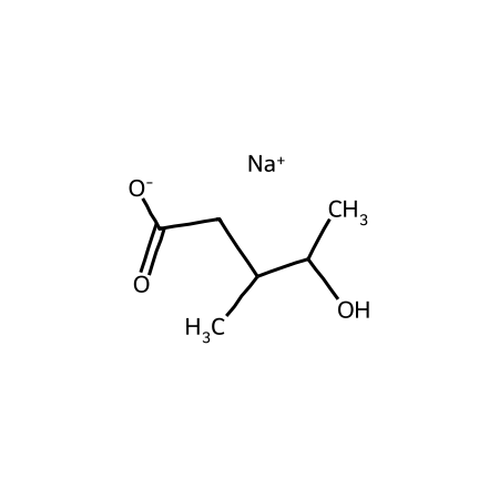 CC(O)C(C)CC(=O)[O-].[Na+]